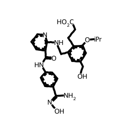 CC(C)Oc1cc(CO)cc(CNc2ncccc2C(=O)Nc2ccc(/C(N)=N/O)cc2)c1CCC(=O)O